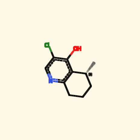 C[C@@H]1CCCc2ncc(Cl)c(O)c21